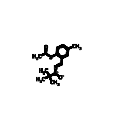 CC(=O)Sc1ccc(C)cc1/C=N/[S+]([O-])C(C)(C)C